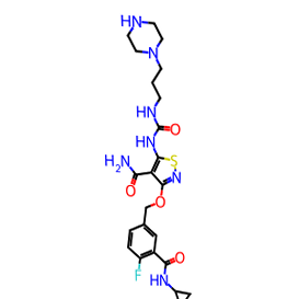 NC(=O)c1c(OCc2ccc(F)c(C(=O)NC3CC3)c2)nsc1NC(=O)NCCCN1CCNCC1